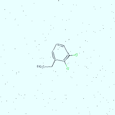 CCOC(=O)Cc1cccc(Cl)c1Cl